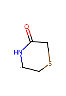 O=C1CSC[CH]N1